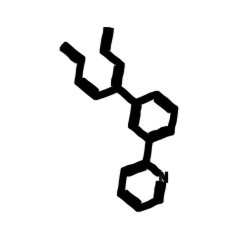 C=C/C=C\C(=C/C=C)c1cccc(-c2ccccn2)c1